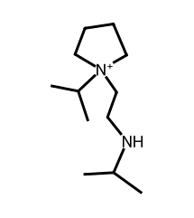 CC(C)NCC[N+]1(C(C)C)CCCC1